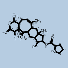 C=C1C2CC3C(C(C)C)C(OC(=O)C4CCCO4)CC3(C)CC2/C(C)=C\CC2C(C)OC(=O)C(O)C12O